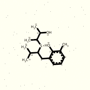 Cc1cccc(CC(SC(C)C(C)O)C(C)C)c1O